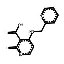 O=C(O)c1c(NCc2ccccn2)cc[nH]c1=O